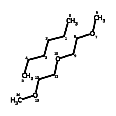 CCCCCC.COCCOCCOC